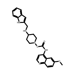 COc1ccc2nccc(NC(=O)ON3CCC(NCc4cc5ccccc5[nH]4)CC3)c2c1